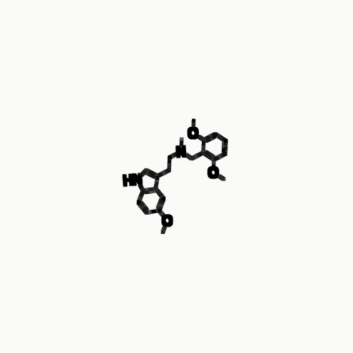 COc1ccc2[nH]cc(CCN(C)Cc3c(OC)cccc3OC)c2c1